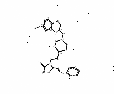 O=C1OCC(COc2ccccc2)N1CCC1CCN(CC2COc3ccc(F)cc3O2)CC1